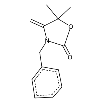 C=C1N(Cc2ccccc2)C(=O)OC1(C)C